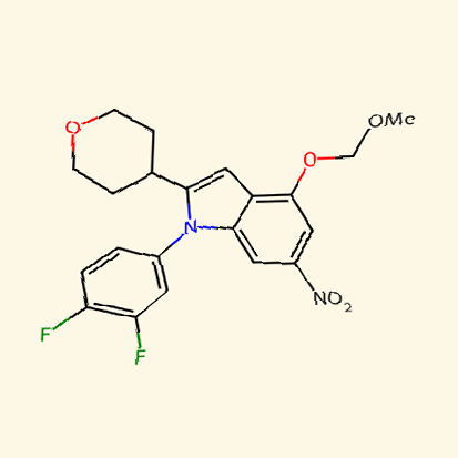 COCOc1cc([N+](=O)[O-])cc2c1cc(C1CCOCC1)n2-c1ccc(F)c(F)c1